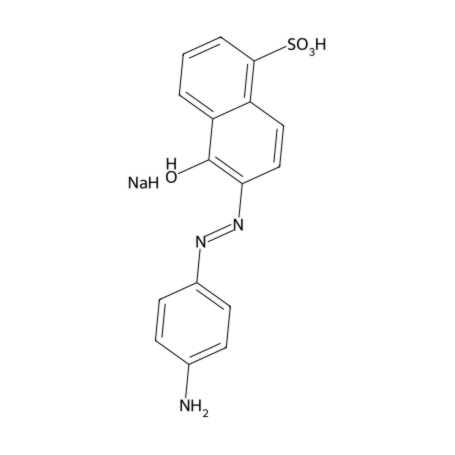 Nc1ccc(N=Nc2ccc3c(S(=O)(=O)O)cccc3c2O)cc1.[NaH]